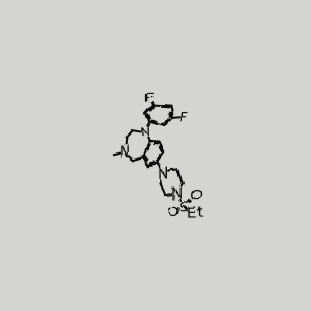 CCS(=O)(=O)N1CCN(c2ccc3c(c2)CN(C)CCN3c2cc(F)cc(F)c2)CC1